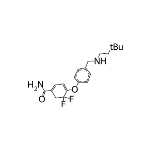 CC(C)(C)CCNCc1ccc(OC2=CC=C(C(N)=O)CC2(F)F)cc1